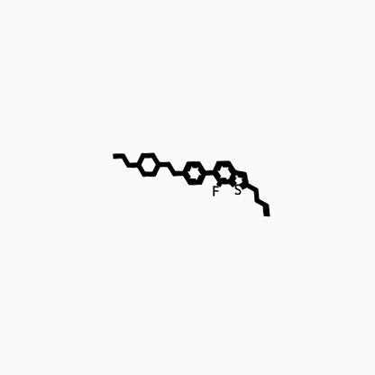 C=CCCc1cc2ccc(-c3ccc(CCC4CCC(CCC)CC4)cc3)c(F)c2s1